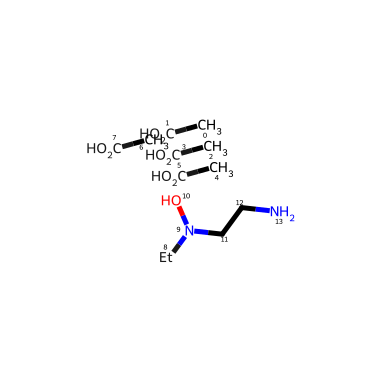 CC(=O)O.CC(=O)O.CC(=O)O.CC(=O)O.CCN(O)CCN